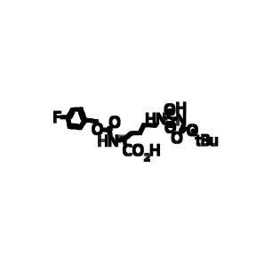 CC(C)(C)OC(=O)NS(=O)(=O)NCCCC[C@H](NC(=O)OCc1ccc(F)cc1)C(=O)O